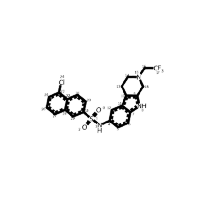 O=S(=O)(Nc1ccc2[nH]c3c(c2c1)CCN(CC(F)(F)F)C3)c1ccc2c(Cl)cccc2c1